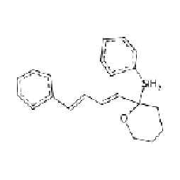 C(C=CC1([SiH2]c2ccccc2)CCCCO1)=Cc1ccccc1